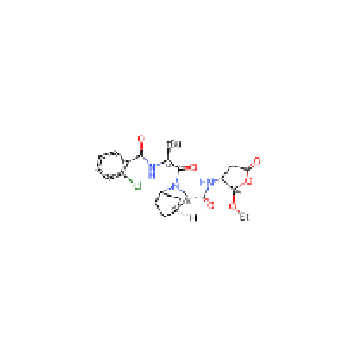 CCO[C@@H]1OC(=O)CC1NC(=O)[C@@H]1[C@H]2CCC(C2)N1C(=O)[C@@H](NC(=O)c1ccccc1Cl)C(C)(C)C